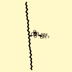 CCCCCCCCCCCCCCCCCCC(CCCCCCCCCCCCCCCCCC)COS(=O)(=O)OCCO.N